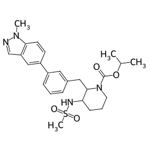 CC(C)OC(=O)N1CCCC(NS(C)(=O)=O)C1Cc1cccc(-c2ccc3c(cnn3C)c2)c1